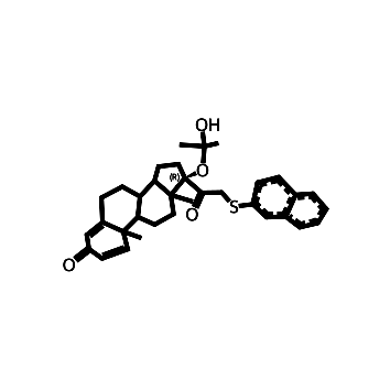 CC(C)(O)O[C@]1(C(=O)CSc2ccc3ccccc3c2)CCC2C3CCC4=CC(=O)C=CC4(C)C3CCC21C